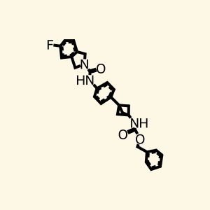 O=C(NC12CC(c3ccc(NC(=O)N4Cc5ccc(F)cc5C4)cc3)(C1)C2)OCc1ccccc1